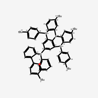 CC(C)(C)c1ccc(-c2ccccc2N(c2ccccc2)c2cc3c4c(c2)N(c2ccc(C(C)(C)C)cc2)c2ccc(C(C)(C)C)cc2B4c2cc(C(C)(C)C)ccc2N3c2ccc(C(C)(C)C)cc2)cc1